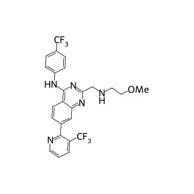 COCCNCc1nc(Nc2ccc(C(F)(F)F)cc2)c2ccc(-c3ncccc3C(F)(F)F)cc2n1